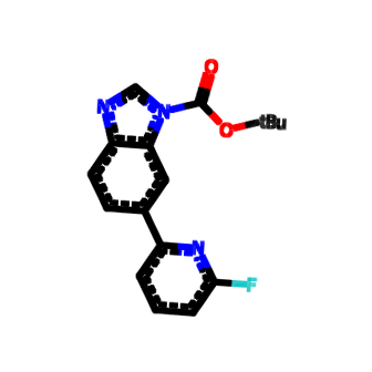 CC(C)(C)OC(=O)n1cnc2ccc(-c3cccc(F)n3)cc21